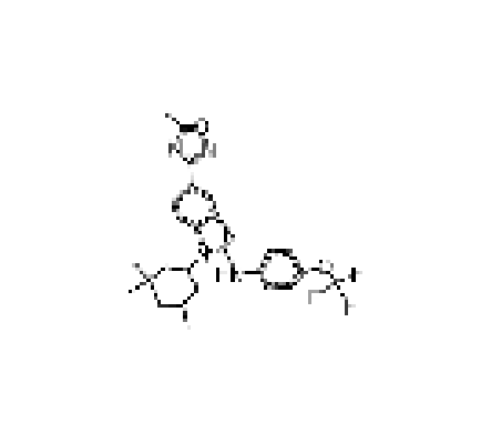 Cc1nc(-c2ccc3c(c2)nc(Nc2ccc(OC(F)(F)F)cc2)n3C2CC(C)CC(C)(C)C2)no1